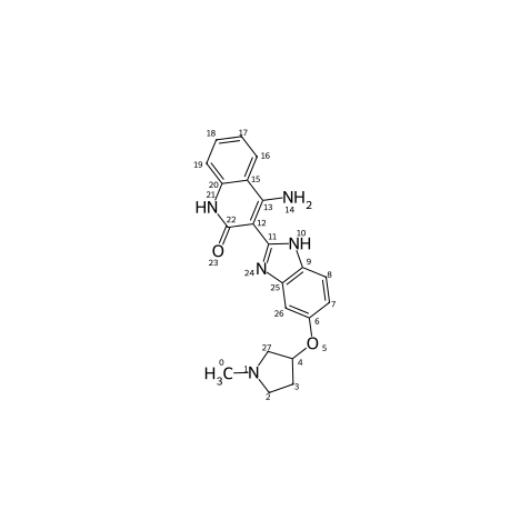 CN1CCC(Oc2ccc3[nH]c(-c4c(N)c5ccccc5[nH]c4=O)nc3c2)C1